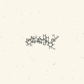 Cc1ccc(NC(=O)Nc2ncc(Cc3nc4ncccc4[nH]3)s2)c(OCC(C)C)c1